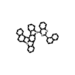 c1ccc2c(-c3nc(-n4c5ccccc5c5c6c7c8ccccc8ccc7n7c8ccccc8c(cc54)c67)c4ccccc4n3)cccc2c1